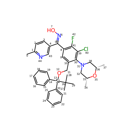 Cc1ccc(/C(=N\O)c2cc(CO[Si](c3ccccc3)(c3ccccc3)C(C)(C)C)c(N3C[C@@H](C)O[C@@H](C)C3)c(Cl)c2F)cn1